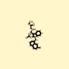 COC(=O)CNCc1c(OC(=O)O)n(Cc2cccc3ccc(F)cc23)c2ccccc12